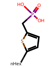 CCCCCCc1ccc(CP(=O)(O)O)s1